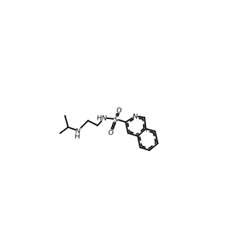 CC(C)NCCNS(=O)(=O)c1cc2ccccc2cn1